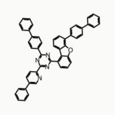 c1ccc(-c2ccc(-c3nc(-c4ccc(-c5ccccc5)cn4)nc(-c4cccc5oc6c(-c7ccc(-c8ccccc8)cc7)cccc6c45)n3)cc2)cc1